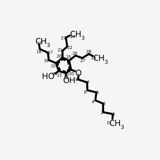 CCCCCCCCCOc1c(O)c(O)c(CCCC)c(CCCC)c1CCCC